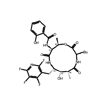 CCC(C)C1NC(=O)[C@H](C)[C@H](O)[C@H](Cc2c(F)nc(F)c(F)c2F)NC(=O)[C@@H](NC(=O)c2ccccc2O)[C@@H](C)OC1=O